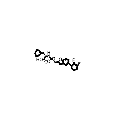 O=C(N[C@H](Cc1ccccc1)C(=O)O)OCc1cc2cc(-c3cccc(F)c3F)ccc2o1